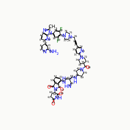 Cc1nc2ccc(-c3ccnc(N)c3)nc2n1-c1cc(F)c(N2CCN(CC#Cc3ccc(N4CCC(C(=O)N5CCC(N/C=C(\C=N)CNc6cccc7c6C(=O)N(C6CCC(=O)NC6=O)C7=O)CC5)CC4)nc3)CC2)c(F)c1